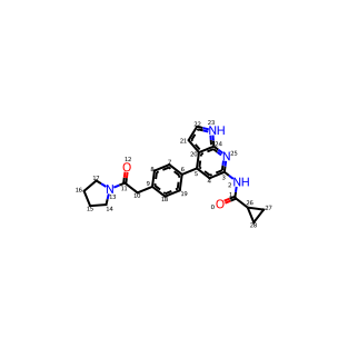 O=C(Nc1cc(-c2ccc(CC(=O)N3CCCC3)cc2)c2cc[nH]c2n1)C1CC1